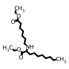 CCCCCCCCC(NCCCCCCC(=O)OCC)C(=O)OCC